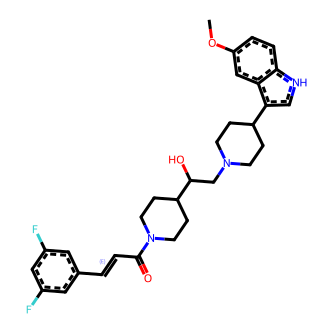 COc1ccc2[nH]cc(C3CCN(CC(O)C4CCN(C(=O)/C=C/c5cc(F)cc(F)c5)CC4)CC3)c2c1